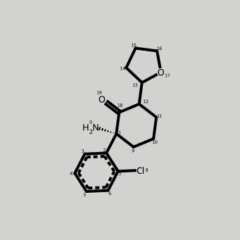 N[C@@]1(c2ccccc2Cl)CCCC(C2CCCO2)C1=O